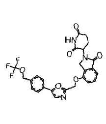 O=C1CCC(N2Cc3c(OCc4ncc(-c5ccc(COC(F)(F)F)cc5)o4)cccc3C2=O)C(=O)N1